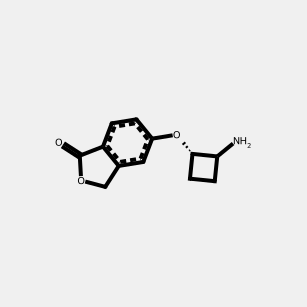 NC1CC[C@@H]1Oc1ccc2c(c1)COC2=O